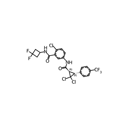 O=C(NC1CC(F)(F)C1)c1cc(NC(=O)[C@H]2[C@H](c3ccc(C(F)(F)F)cc3)C2(Cl)Cl)ccc1Cl